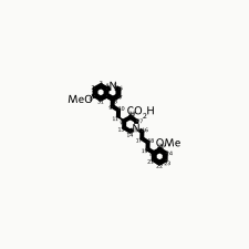 COc1ccc2nccc(CCC[C@@H]3CCN(CCCCc4ccccc4OC)C[C@@H]3C(=O)O)c2c1